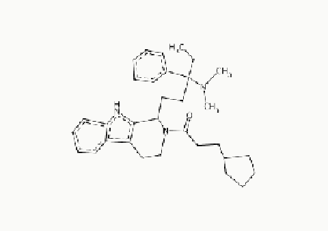 CCC(CCC1c2[nH]c3ccccc3c2CCN1C(=O)CCC1CCCC1)(c1ccccc1)N(C)C